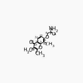 Cc1oc2c(C)c(OCC(N)=O)ccc2c(=O)c1C